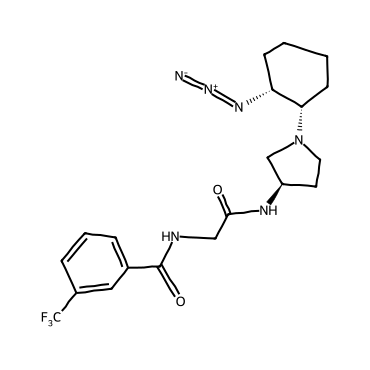 [N-]=[N+]=N[C@@H]1CCCC[C@@H]1N1CC[C@@H](NC(=O)CNC(=O)c2cccc(C(F)(F)F)c2)C1